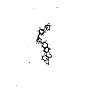 O=C1NCCCN1c1ccc2c(c1)CN(c1ncc(Cc3ccc(-n4cccn4)cc3)s1)CC2